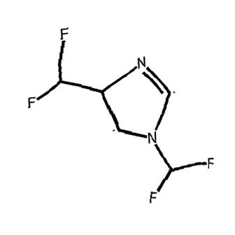 FC(F)C1[CH]N(C(F)F)[C]=N1